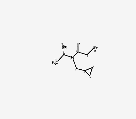 CCC(C)[C@H](N(CC1CC1)C(C)CC(C)C)C(F)(F)F